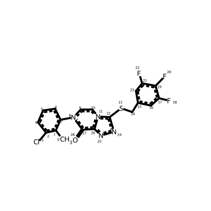 Cc1c(Cl)cccc1-n1ccn2c(SCc3cc(F)c(F)c(F)c3)nnc2c1=O